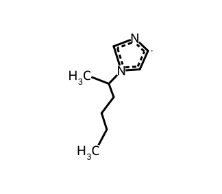 CCCCC(C)n1c[c]nc1